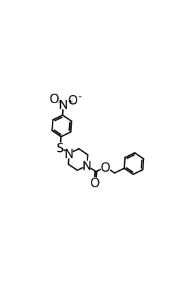 O=C(OCc1ccccc1)N1CCN(Sc2ccc([N+](=O)[O-])cc2)CC1